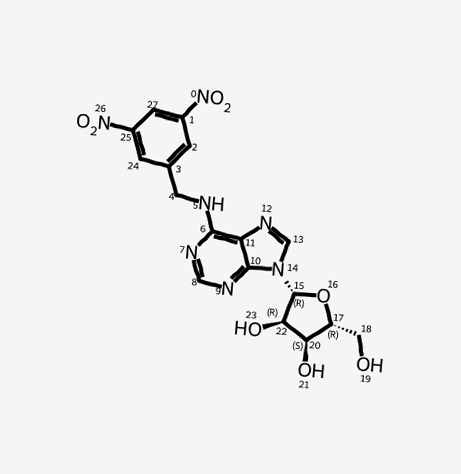 O=[N+]([O-])c1cc(CNc2ncnc3c2ncn3[C@@H]2O[C@H](CO)[C@@H](O)[C@H]2O)cc([N+](=O)[O-])c1